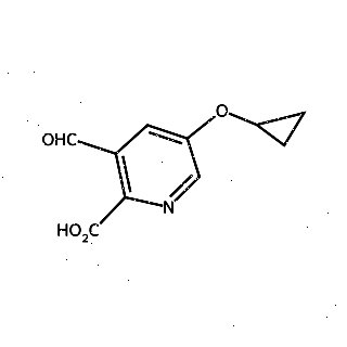 O=Cc1cc(OC2CC2)cnc1C(=O)O